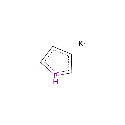 [K].c1cc[pH]c1